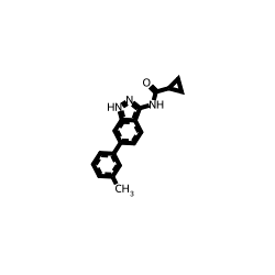 Cc1cccc(-c2ccc3c(NC(=O)C4CC4)n[nH]c3c2)c1